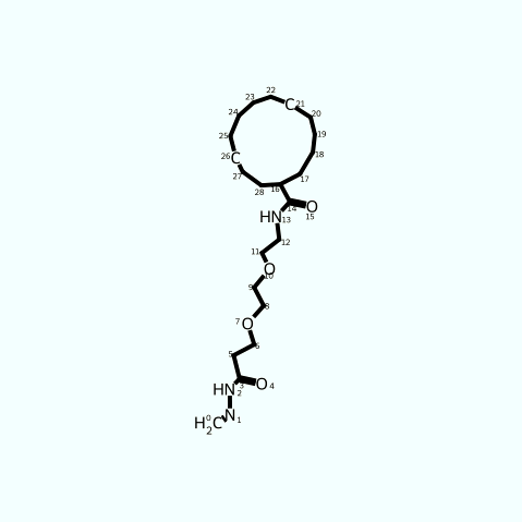 C=NNC(=O)CCOCCOCCNC(=O)C1CCCCCCCCCCCC1